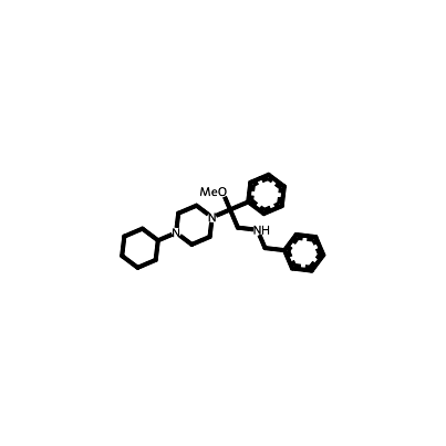 COC(CNCc1ccccc1)(c1ccccc1)N1CCN(C2CCCCC2)CC1